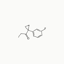 CCC(=O)C1(c2cccc(F)c2)CC1